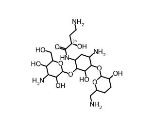 NCC[C@@H](O)C(=O)NC1CC(N)C(OC2OC(CN)CCC2O)C(O)C1OC1OC(CO)C(O)C(N)C1O